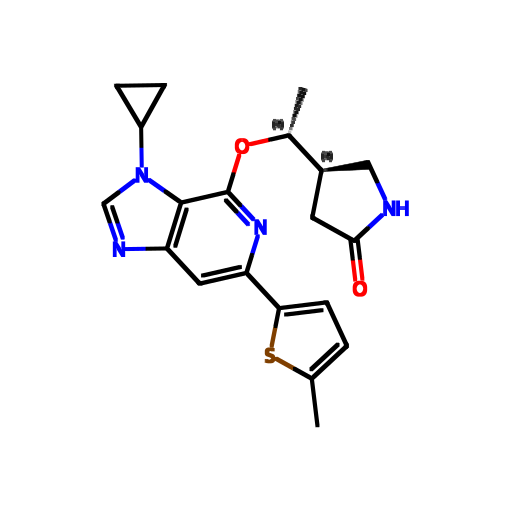 Cc1ccc(-c2cc3ncn(C4CC4)c3c(O[C@H](C)[C@H]3CNC(=O)C3)n2)s1